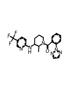 CC1C(Nc2ccc(C(F)(F)F)cn2)CCCN1C(=O)c1ccccc1-n1nccn1